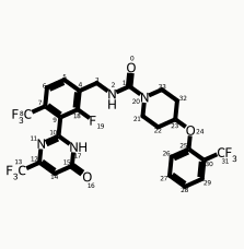 O=C(NCc1ccc(C(F)(F)F)c(-c2nc(C(F)(F)F)cc(=O)[nH]2)c1F)N1CCC(Oc2ccccc2C(F)(F)F)CC1